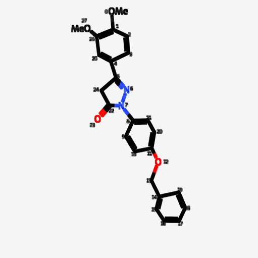 COc1ccc(C2=NN(c3ccc(OCc4ccccc4)cc3)C(=O)C2)cc1OC